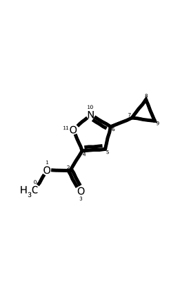 COC(=O)c1cc(C2CC2)no1